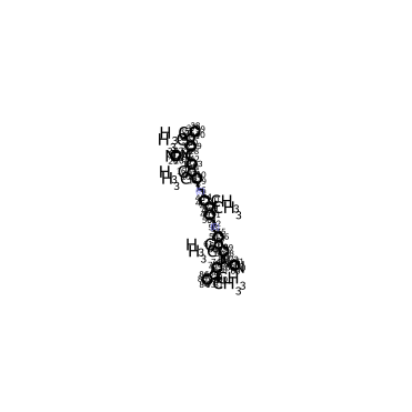 CC1(C)c2cc(/C=C/c3ccc4c(c3)C(C)(C)c3cc(N(c5ccncc5)c5ccc6c(c5)C(C)(C)c5ccccc5-6)ccc3-4)ccc2-c2ccc(/C=C/c3ccc4c(c3)C(C)(C)c3cc(N(c5ccncc5)c5ccc6c(c5)C(C)(C)c5ccccc5-6)ccc3-4)cc21